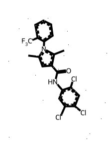 Cc1cc(C(=O)Nc2cc(Cl)c(Cl)cc2Cl)c(C)n1-c1ccccc1C(F)(F)F